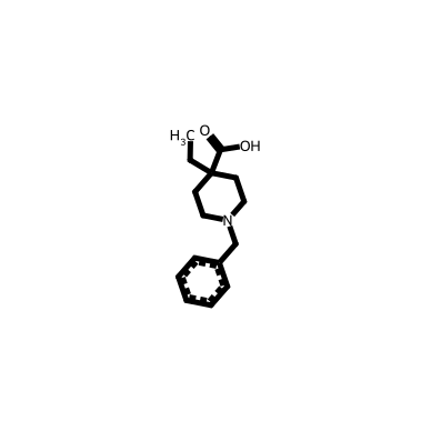 CCC1(C(=O)O)CCN(Cc2ccccc2)CC1